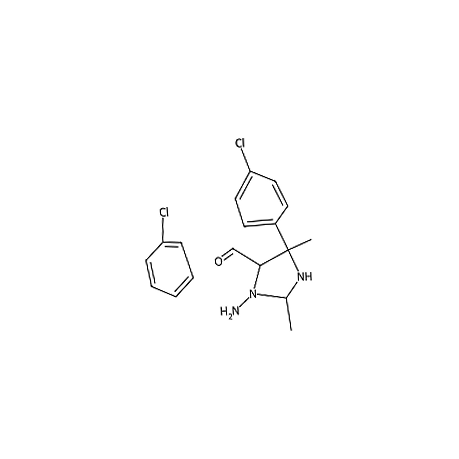 CC1NC(C)(c2ccc(Cl)cc2)C(C=O)N1N.Clc1ccccc1